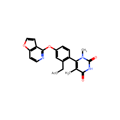 CC(=O)OCc1cc(Oc2nccc3occc23)ccc1-c1c(C)c(=O)[nH]c(=O)n1C